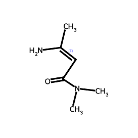 C/C(N)=C/C(=O)N(C)C